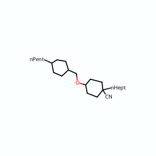 CCCCCCCC1(C#N)CCC(OCC2CCC(CCCCC)CC2)CC1